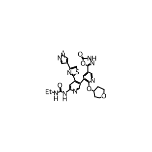 CCNC(=O)Nc1cc(-c2nc(-c3cnn(C)c3)cs2)c(-c2cc(-c3n[nH]c(=O)o3)cnc2OC2CCOCC2)cn1